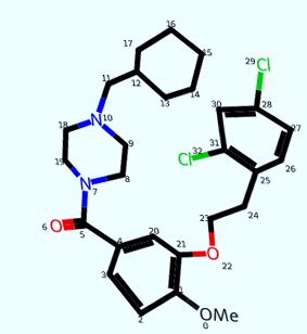 COc1ccc(C(=O)N2CCN(CC3CCCCC3)CC2)cc1OCCc1ccc(Cl)cc1Cl